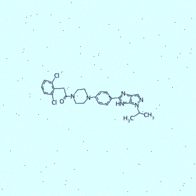 CC(C)n1ncc2nc(-c3ccc(N4CCN(C(=O)Cc5c(Cl)cccc5Cl)CC4)cc3)[nH]c21